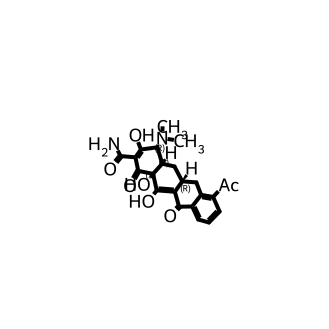 CC(=O)c1cccc2c1C[C@H]1C[C@H]3[C@@H](N(C)C)C(O)=C(C(N)=O)C(=O)[C@@]3(O)C(O)=C1C2=O